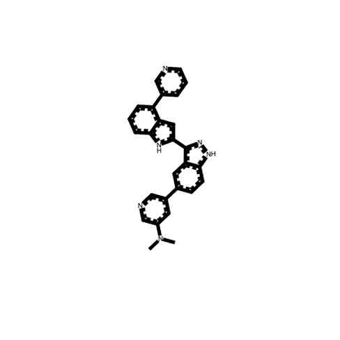 CN(C)c1cncc(-c2ccc3[nH]nc(-c4cc5c(-c6cccnc6)cccc5[nH]4)c3c2)c1